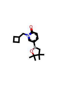 CC1(C)CB(c2ccc(=O)n(CC3CCC3)c2)OC1(C)C